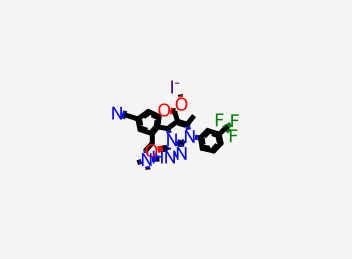 COC(=O)C1=C(C)N(c2cccc(C(F)(F)F)c2)c2n[nH]c(=O)n2C1c1ccc(C#N)cc1CC[N+](C)(C)C.[I-]